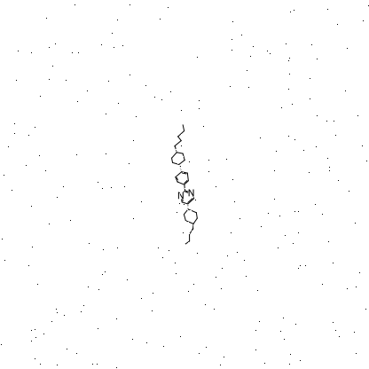 CCCCC[C@H]1CC[C@H](c2ccc(-c3ncc([C@H]4CC[C@H](CCCC)CC4)cn3)cc2)CC1